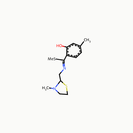 CS/C(=N\CC1SCCN1C)c1ccc(C)cc1O